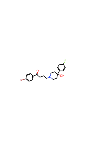 O=C(CCCN1CCC(O)(c2ccc(F)cc2)CC1)c1ccc(Br)cc1